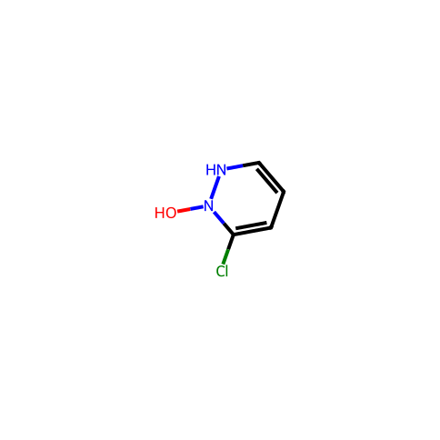 ON1NC=CC=C1Cl